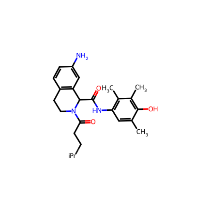 Cc1cc(NC(=O)C2c3cc(N)ccc3CCN2C(=O)CCC(C)C)c(C)c(C)c1O